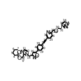 C[C@H](OC1CCCCO1)c1nccn1Cc1cc(-c2ccc(C#Cc3ccc(COCCn4ccnn4)nc3)cc2)on1